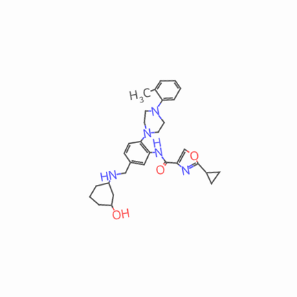 Cc1ccccc1N1CCN(c2ccc(CNC3CCCC(O)C3)cc2NC(=O)c2coc(C3CC3)n2)CC1